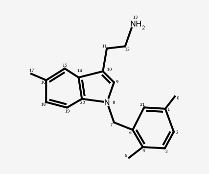 Cc1ccc(C)c(Cn2cc(CCN)c3cc(C)ccc32)c1